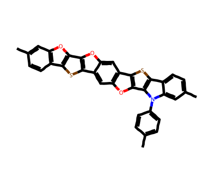 Cc1ccc(-n2c3cc(C)ccc3c3sc4c5cc6oc7c8oc9cc(C)ccc9c8sc7c6cc5oc4c32)cc1